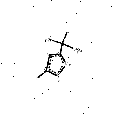 CCCCC(C)(CCC)c1cc(I)sn1